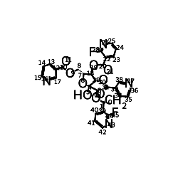 C=C(OC[C@@]1(O)O[C@H](COC(=O)c2cccnc2)[C@@H](OC(=O)c2cccnc2F)[C@@H]1OC(=O)c1cccnc1)c1cccnc1F